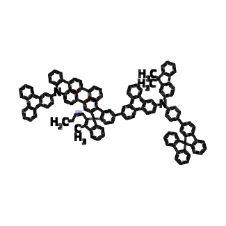 C=C/C=C\C1=C(C)c2ccccc2C12c1ccc(-c3ccc4c5ccc(N(c6ccc(-c7ccc8c(c7)C7(c9ccccc9-c9ccccc97)c7ccccc7-8)cc6)c6ccc7c(c6)C(C)(C)c6ccccc6-7)cc5c5ccccc5c4c3)cc1-c1ccc(-c3ccc(N(c4ccc5c6ccccc6c6ccccc6c5c4)c4ccccc4-c4ccc(-c5ccccc5)cc4)cc3)cc12